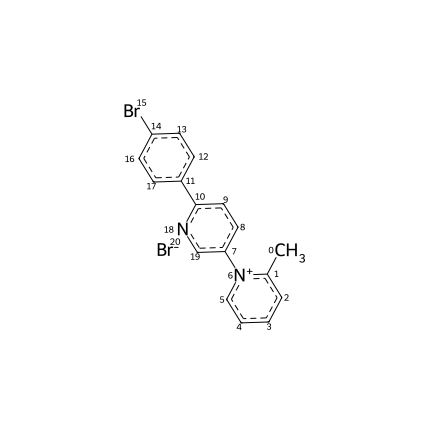 Cc1cccc[n+]1-c1ccc(-c2ccc(Br)cc2)nc1.[Br-]